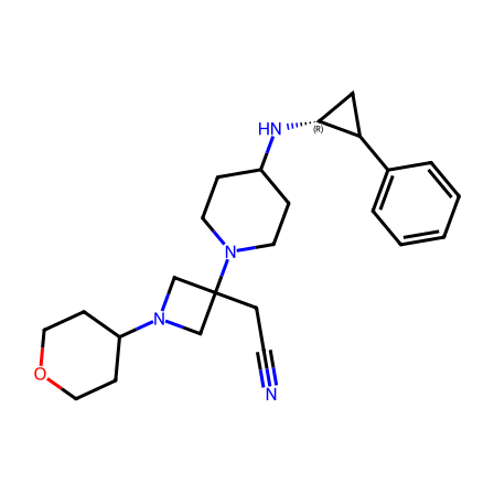 N#CCC1(N2CCC(N[C@@H]3CC3c3ccccc3)CC2)CN(C2CCOCC2)C1